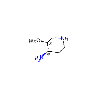 CO[C@H]1CNCC[C@H]1N